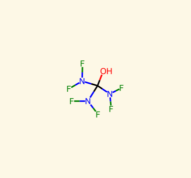 OC(N(F)F)(N(F)F)N(F)F